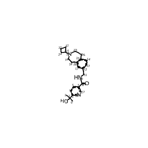 CC(C)(O)c1ccc(C(=O)NCc2ccc3c(c2)CCN(C2CCC2)CC3)cn1